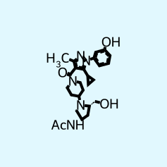 CC(=O)N[C@@H]1C[C@@H](CO)N(C2CCN(C(=O)c3c(C)nn(-c4cccc(O)c4)c3C3CC3)CC2)C1